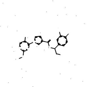 CCC(C)Nc1ncc(C)c(-n2ccc(C(=O)NC(CO)c3ccc(F)c(Cl)c3)c2)n1